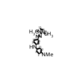 CNc1ccc(Nc2ccc(N=Nc3n(C)cc[n+]3C)cc2)cc1